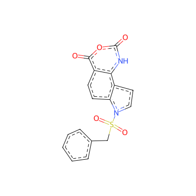 O=c1[nH]c2c(ccc3c2ccn3S(=O)(=O)Cc2ccccc2)c(=O)o1